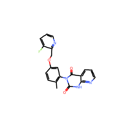 Cc1ccc(OCc2ncccc2F)cc1-n1c(=O)[nH]c2ncccc2c1=O